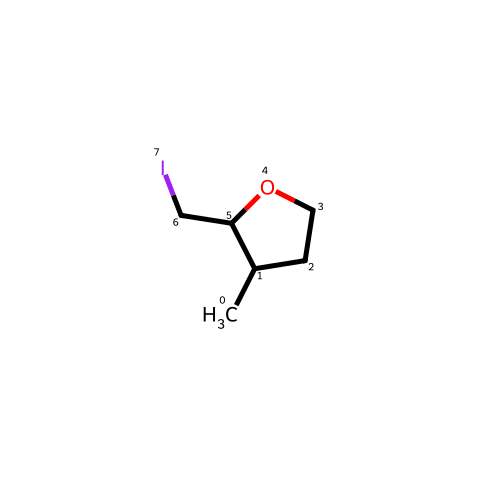 CC1CCOC1CI